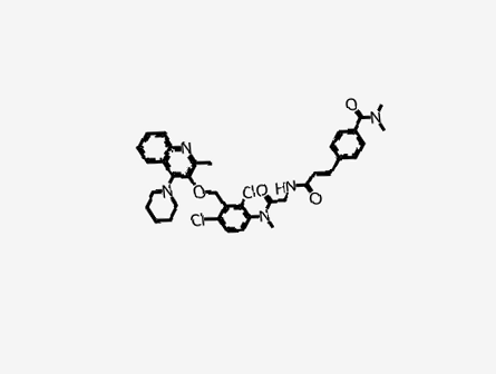 Cc1nc2ccccc2c(N2CCCCC2)c1OCc1c(Cl)ccc(N(C)C(=O)CNC(=O)/C=C/c2ccc(C(=O)N(C)C)cc2)c1Cl